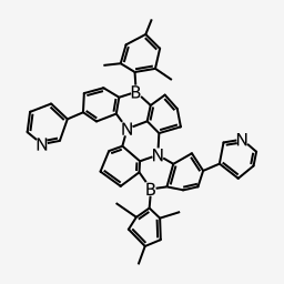 Cc1cc(C)c(B2c3ccc(-c4cccnc4)cc3N3c4cccc5c4N(c4cc(-c6cccnc6)ccc4B5c4c(C)cc(C)cc4C)c4cccc2c43)c(C)c1